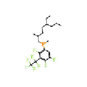 CCCC(CC)CCC(C)CP(C)c1cc(F)c(F)c(C(F)(F)C(F)(F)F)c1F